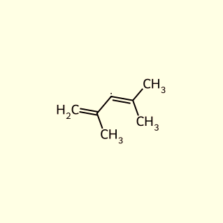 C=C(C)[C]=C(C)C